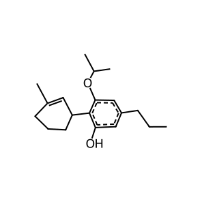 CCCc1cc(O)c(C2C=C(C)CCC2)c(OC(C)C)c1